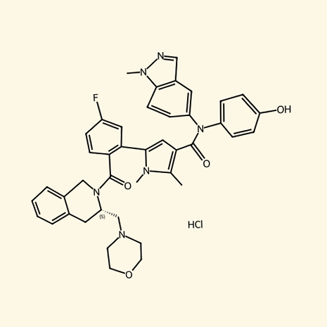 Cc1c(C(=O)N(c2ccc(O)cc2)c2ccc3c(cnn3C)c2)cc(-c2cc(F)ccc2C(=O)N2Cc3ccccc3C[C@H]2CN2CCOCC2)n1C.Cl